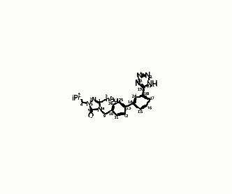 CCCCc1nn(CC(C)C)c(=O)n1Cc1ccc(-c2cccc(-c3nnn[nH]3)c2)cc1